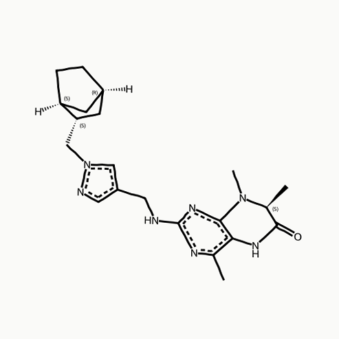 Cc1nc(NCc2cnn(C[C@H]3C[C@@H]4CC[C@H]3C4)c2)nc2c1NC(=O)[C@H](C)N2C